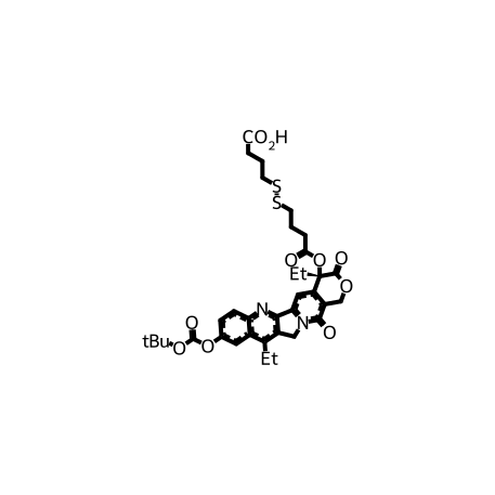 CCc1c2c(nc3ccc(OC(=O)OC(C)(C)C)cc13)-c1cc3c(c(=O)n1C2)COC(=O)[C@@]3(CC)OC(=O)CCCSSCCCC(=O)O